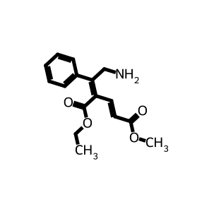 CCOC(=O)C(C=CC(=O)OC)=C(CN)c1ccccc1